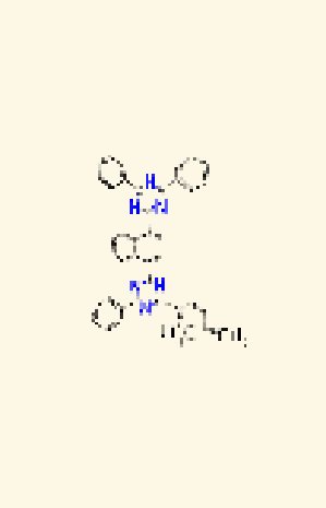 C=C/C=C\C(=C/C)c1nc(-c2ccccc2)nc(-c2ccc(-c3nc(-c4ccccc4)nc(-c4ccccc4)n3)c3ccccc23)n1